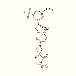 COC(=O)C1(F)CN(C(=O)/C=C\n2cnc(-c3cc(C)cc(C(F)(F)F)c3)n2)C1